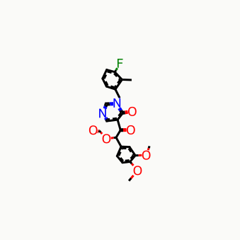 COc1ccc(C(OC=O)C(=O)c2cncn(Cc3cccc(F)c3C)c2=O)cc1OC